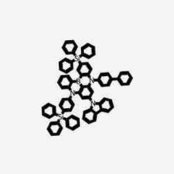 c1ccc(-c2ccc(N3c4ccc([Si](c5ccccc5)(c5ccccc5)c5ccccc5)cc4B4c5ccccc5N(c5ccc([Si](c6ccccc6)(c6ccccc6)c6ccccc6)cc5)c5cc(-n6c7ccccc7c7ccccc76)cc3c54)cc2)cc1